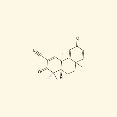 CC12C=CC(=O)C=C1[C@]1(C)C=C(C#N)C(=O)C(C)(C)[C@H]1CC2